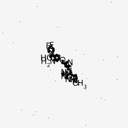 Cn1ccc(-c2cn(-c3cncc(COc4ccc(C(O)N5CCC(F)(F)CC5)c(N)c4)c3)c3ncnc(N)c23)n1